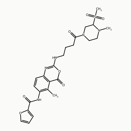 Cc1c(NC(=O)c2ccco2)ccc2nc(NCCCC(=O)N3CCN(C)C(S(C)(=O)=O)C3)oc(=O)c12